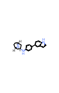 CN1[C@@H]2CC[C@H]1C[C@@H](Nc1ccc(-c3ccc4[nH]ccc4c3)cc1)C2